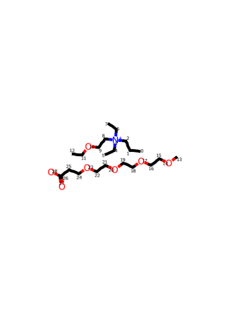 CCC[N+](CC)(CC)CCOCC.COCCOCCOCCOCCC(=O)[O-]